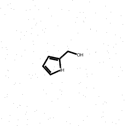 OCC1=CC=C[IH]1